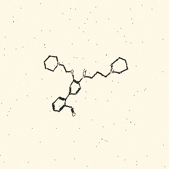 O=Cc1ccccc1-c1ccc(NCCCN2CCCCC2)c(OCCN2CCCCC2)c1